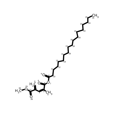 C=C(C=C(C)C(=O)OC(=O)CCCCCCCCCCCCCCCCC)C(=O)OC